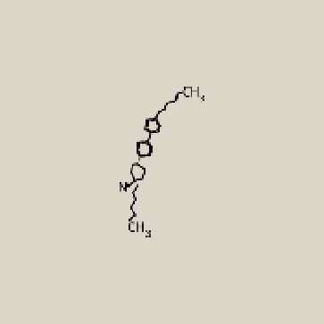 CCCCCCC[C@]1(C#N)CC[C@H](c2ccc(-c3ccc(CCCCCC)cc3)cc2)CC1